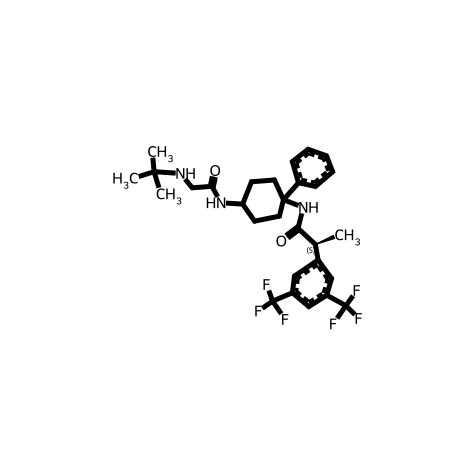 C[C@H](C(=O)NC1(c2ccccc2)CCC(NC(=O)CNC(C)(C)C)CC1)c1cc(C(F)(F)F)cc(C(F)(F)F)c1